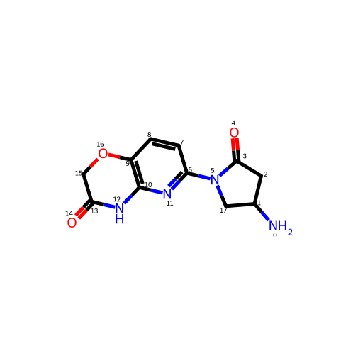 NC1CC(=O)N(c2ccc3c(n2)NC(=O)CO3)C1